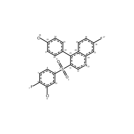 O=S(=O)(c1ccc(F)c(Cl)c1)c1cnc2cc(F)ccc2c1-c1ccc(Cl)cc1